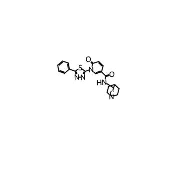 O=C(NC1CN2CCC1CC2)c1ccc(=O)n(-c2nnc(-c3ccccc3)s2)c1